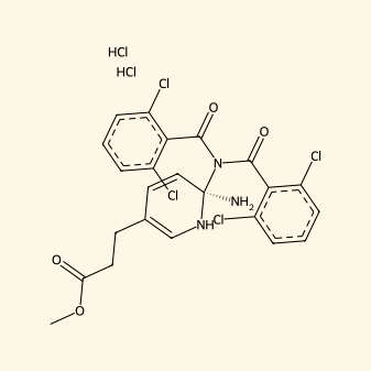 COC(=O)CCC1=CN[C@](N)(N(C(=O)c2c(Cl)cccc2Cl)C(=O)c2c(Cl)cccc2Cl)C=C1.Cl.Cl